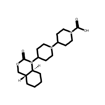 O=C(O)N1CCC(N2CCC(N3C(=O)OC[C@H]4CCCC[C@@H]43)CC2)CC1